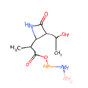 BNPOC(=O)C(C)C1NC(=O)C1C(C)O